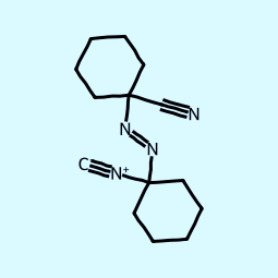 [C-]#[N+]C1(/N=N/C2(C#N)CCCCC2)CCCCC1